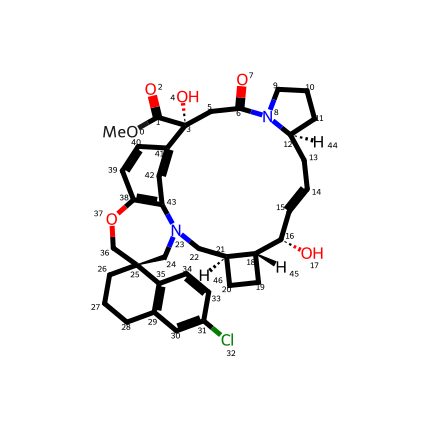 COC(=O)[C@@]1(O)CC(=O)N2CCC[C@H]2C/C=C/[C@H](O)[C@@H]2CC[C@H]2CN2C[C@@]3(CCCc4cc(Cl)ccc43)COc3ccc1cc32